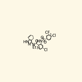 CCN(C(=O)c1ncc(Cl)cc1NS(=O)(=O)c1ccc(Cl)c(C(F)(F)F)c1)c1n[nH]c2c1CCC=C2